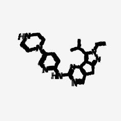 CCn1nc2c(c1C(C)C)-c1nc(Nc3ccc(N4CCNCC4)cn3)ncc1C2